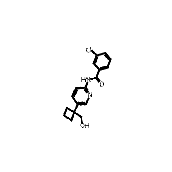 O=C(Nc1ccc(C2(CO)CCC2)cn1)c1cccc(Cl)c1